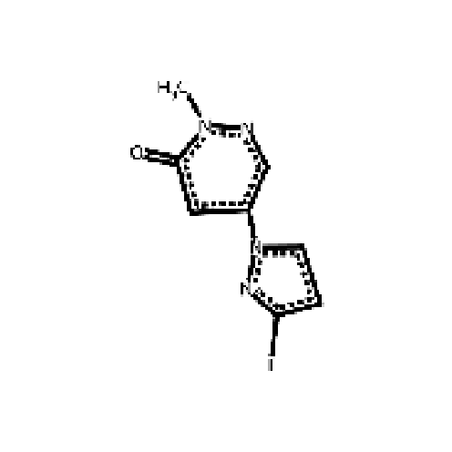 Cn1ncc(-n2ccc(I)n2)cc1=O